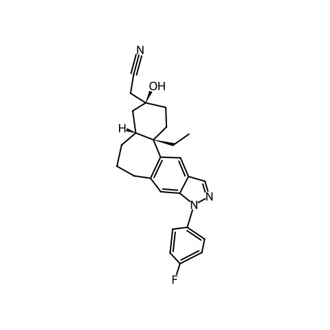 CC[C@]12CC[C@@](O)(CC#N)C[C@H]1CCCc1cc3c(cnn3-c3ccc(F)cc3)cc12